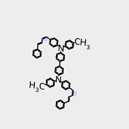 Cc1ccc(N(c2ccc(/C=C\C=Cc3ccccc3)cc2)c2ccc(-c3ccc(N(c4ccc(C)cc4)c4ccc(/C=C\C=Cc5ccccc5)cc4)cc3)cc2)cc1